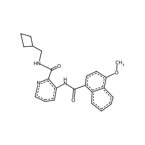 COc1ccc(C(=O)Nc2cccnc2C(=O)NCC2CCC2)c2ccccc12